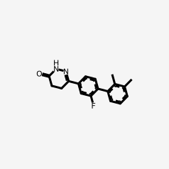 Cc1cccc(-c2ccc(C3=NNC(=O)CC3)cc2F)c1C